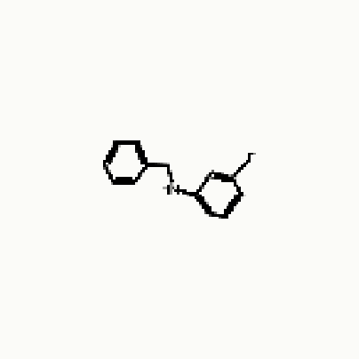 Fc1[c]ccc(NCc2ccccc2)c1